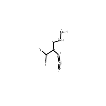 [N-]=[N+]=NC(CNC(=O)O)C(F)F